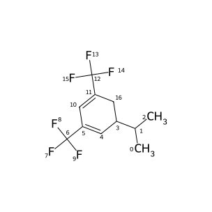 CC(C)C1C=C(C(F)(F)F)C=C(C(F)(F)F)C1